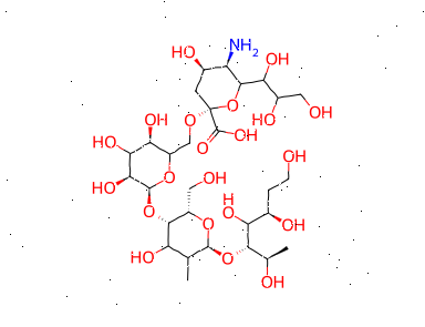 CC1C(O)[C@H](O[C@@H]2OC(CO[C@]3(C(=O)O)C[C@@H](O)[C@@H](N)C(C(O)C(O)CO)O3)[C@H](O)C(O)[C@@H]2O)[C@H](CO)O[C@H]1O[C@H](C(O)[C@H](O)CCO)[C@@H](C)O